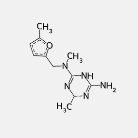 Cc1ccc(CN(C)C2=NC(C)N=C(N)N2)o1